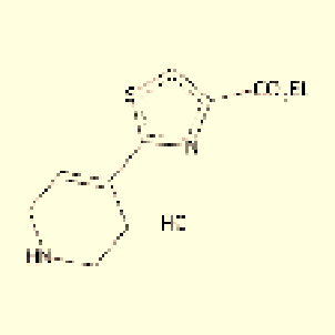 CCOC(=O)c1csc(C2=CCNCC2)n1.Cl